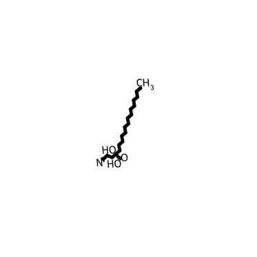 CCCCCCCCCCCCCCCCC(O)(CCC#N)C(=O)O